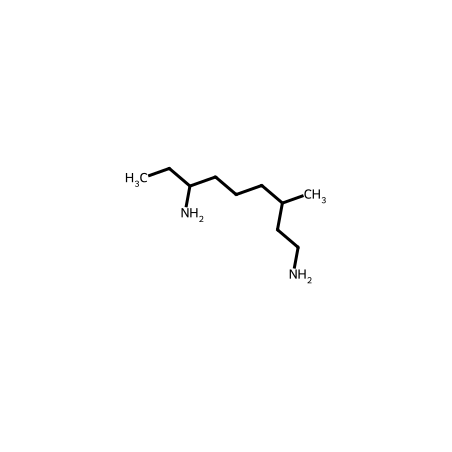 CCC(N)CCCC(C)CCN